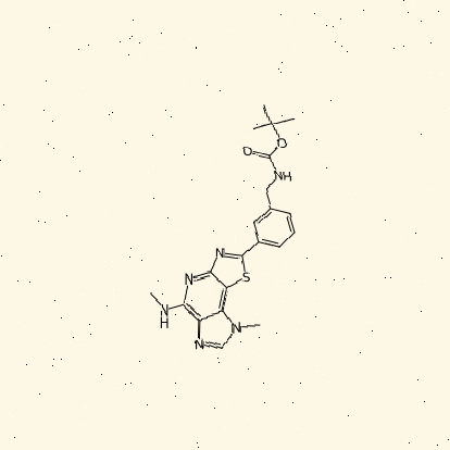 CNc1nc2nc(-c3cccc(CNC(=O)OC(C)(C)C)c3)sc2c2c1ncn2C